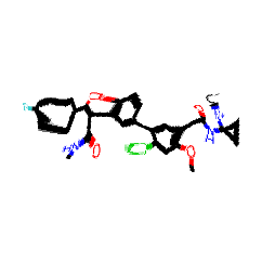 [C-]#[N+]C1(NC(=O)c2cc(-c3ccc4oc(-c5ccc(F)cc5)c(C(=O)NC)c4c3)c(Cl)cc2OC)CC1